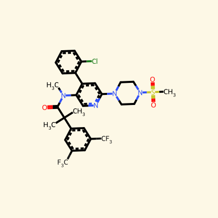 CN(C(=O)C(C)(C)c1cc(C(F)(F)F)cc(C(F)(F)F)c1)c1cnc(N2CCN(S(C)(=O)=O)CC2)cc1-c1ccccc1Cl